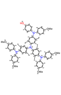 COc1ccc(N(c2ccc(O)cc2)c2cc(C)c(N(c3cc(C)c(N(c4ccc(OC)cc4)c4ccc(OC)cc4)cc3C)c3cc(C)c(N(c4ccc(OC)cc4)c4ccc(OC)cc4)cc3C)cc2C)cc1